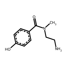 CN(CCN)C(=O)c1ccc(O)cc1